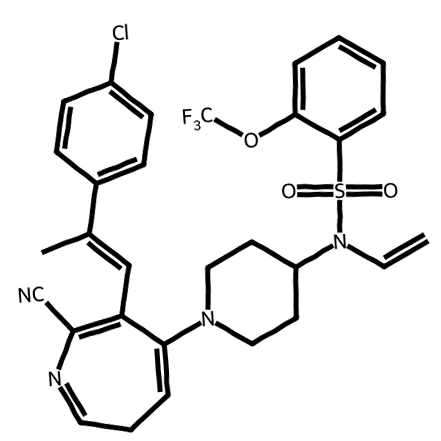 C=CN(C1CCN(C2=CCC=NC(C#N)=C2/C=C(\C)c2ccc(Cl)cc2)CC1)S(=O)(=O)c1ccccc1OC(F)(F)F